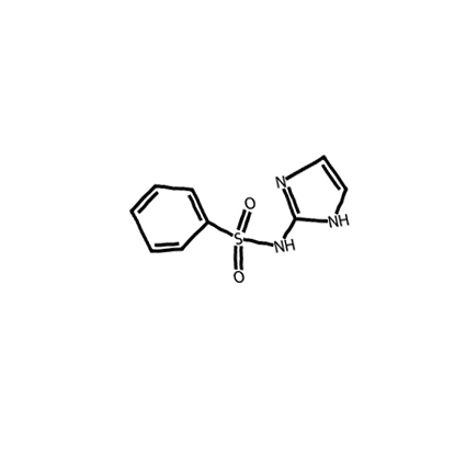 O=S(=O)(Nc1ncc[nH]1)c1ccccc1